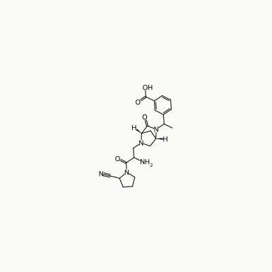 CC(c1cccc(C(=O)O)c1)N1C(=O)[C@@H]2C[C@H]1CN2CC(N)C(=O)N1CCCC1C#N